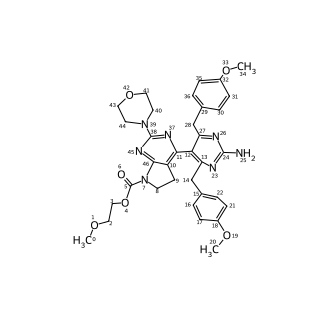 COCCOC(=O)N1CCc2c(-c3c(Cc4ccc(OC)cc4)nc(N)nc3Cc3ccc(OC)cc3)nc(N3CCOCC3)nc21